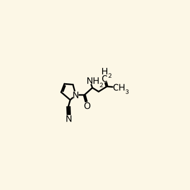 C=C(C)CC(N)C(=O)N1CC=CC1C#N